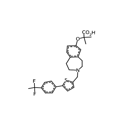 CC(C)(Oc1ccc2c(c1)CCN(Cc1ccc(-c3ccc(C(C)(F)F)cc3)s1)CC2)C(=O)O